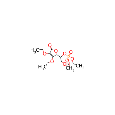 CCOC1=C(OCC)[C@@H]([C@H](CO)OP(=O)(OCC)OCC)OC1=O